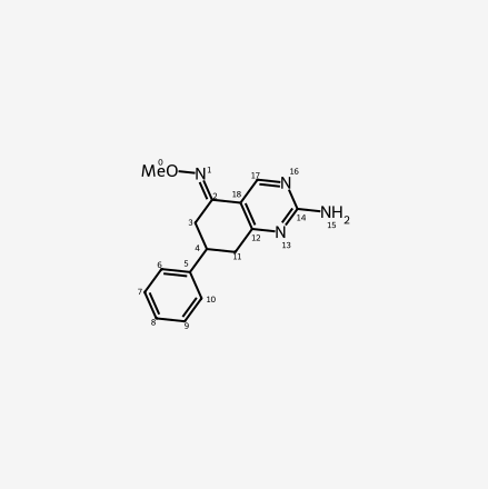 CON=C1CC(c2ccccc2)Cc2nc(N)ncc21